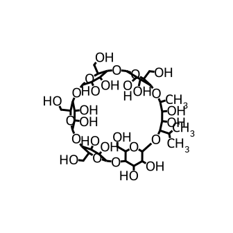 CC(C)C1OC2OC(CO)C(OC3OC(CO)C(OC4OC(CO)C(OC5OC(CO)C(OC6OC(CO)C(OC(C)C(O)C1O)C(O)C6O)C(O)C5O)C(O)C4O)C(O)C3O)C(O)C2O